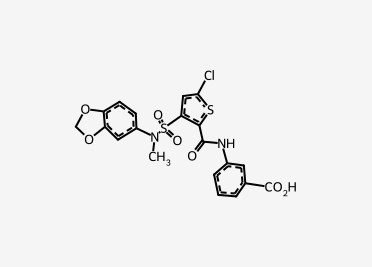 CN(c1ccc2c(c1)OCO2)S(=O)(=O)c1cc(Cl)sc1C(=O)Nc1cccc(C(=O)O)c1